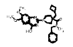 COc1cc2nc(N3CCC(CC4CCC4)(C(=O)N(C)Cc4ccccc4)CC3)nc(O)c2cc1OC